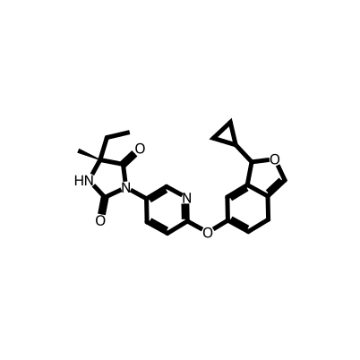 CC[C@@]1(C)NC(=O)N(c2ccc(OC3=CCC4=COC(C5CC5)C4=C3)nc2)C1=O